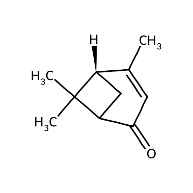 CC1=CC(=O)C2C[C@@H]1C2(C)C